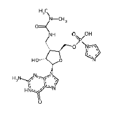 CN(C)C(=O)NC[C@H]1[C@@H](O)[C@H](n2cnc3c(=O)[nH]c(N)nc32)O[C@@H]1COP(=O)(O)n1ccnc1